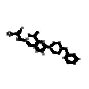 CN(C)c1nc(N2CCN(Cc3ccccc3)CC2)ncc1/C=N/NC(N)=S